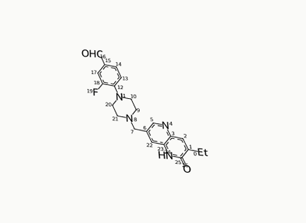 CCc1cc2ncc(CN3CCN(c4ccc(C=O)cc4F)CC3)cc2[nH]c1=O